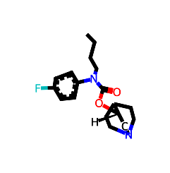 CCCCN(C(=O)O[C@H]1CN2CCC1CC2)c1ccc(F)cc1